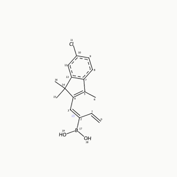 C=C/C(=C\C1=C(C)c2ccc(Cl)cc2C1(C)C)B(O)O